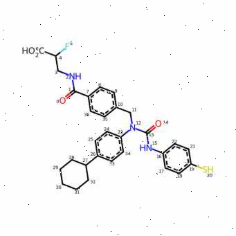 O=C(NCC(F)C(=O)O)c1ccc(CN(C(=O)Nc2ccc(S)cc2)c2ccc(C3CCCCC3)cc2)cc1